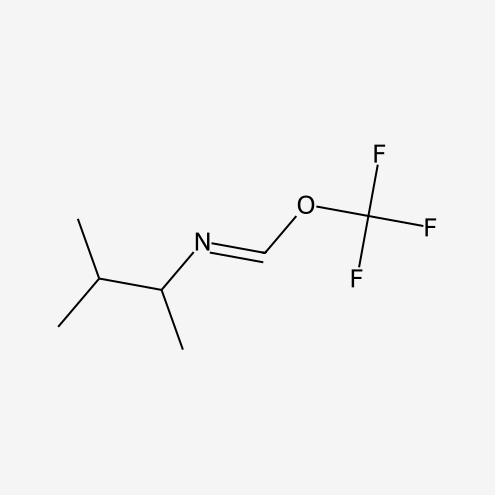 CC(C)C(C)N=COC(F)(F)F